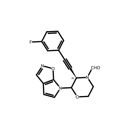 O=CN1CCOC(n2ccc3cnoc32)[C@H]1C#Cc1cccc(F)c1